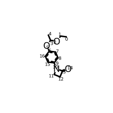 CCOC(C)Oc1ccc(N2CCC2=O)cc1